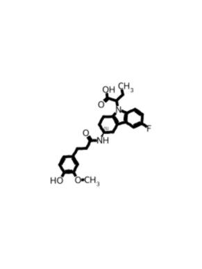 CCC(C(=O)O)n1c2c(c3cc(F)ccc31)C[C@@H](NC(=O)CCc1ccc(O)c(OC)c1)CC2